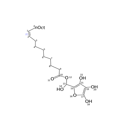 CCCCCCCC/C=C\CCCCCCCC(=O)OC(O)c1oc(O)c(O)c1O